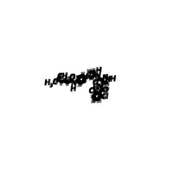 CN(C)C/C=C/C(=O)Nc1ccc(N2CCC(NC(=O)c3n[nH]cc3NC(=O)c3c(Cl)cccc3Cl)C2)cc1